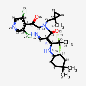 CC1(C)CCC(N/C(=C(\C=N)C(=O)N(CC(=O)c2c(Cl)cncc2Cl)CC2(C)CC2)C(C)(F)F)CC1